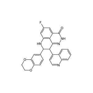 O=c1[nH]nc2c3c(cc(F)cc13)NC(c1ccc3c(c1)OCCO3)C2c1ccnc2ccccc12